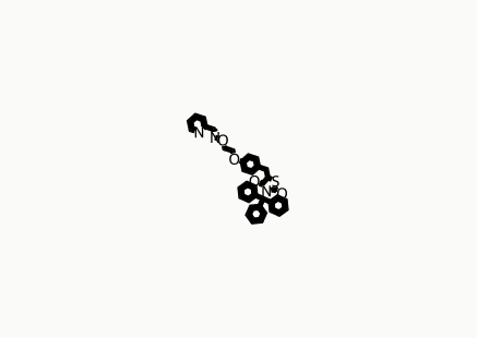 O=C1SC(Cc2ccc(OCCON=Cc3ccccn3)cc2)C(=O)N1C(c1ccccc1)(c1ccccc1)c1ccccc1